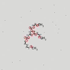 CO/C=C\C/C=C\OC(=O)OCC(COC(=O)O/C=C\OC)OC(=O)O/C=C\OC